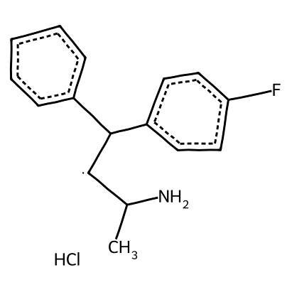 CC(N)[CH]C(c1ccccc1)c1ccc(F)cc1.Cl